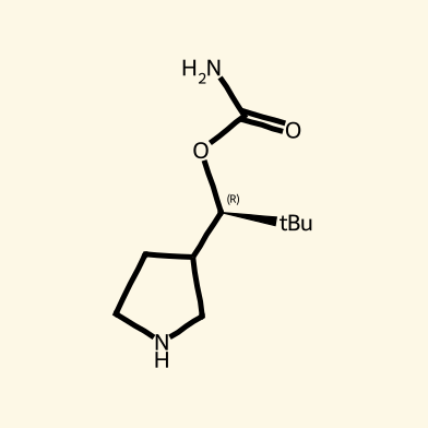 CC(C)(C)[C@H](OC(N)=O)C1CCNC1